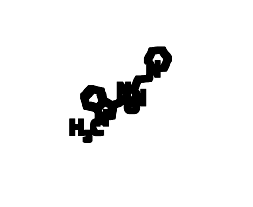 Cn1cc(-c2nc(CCN3CCCCC3)no2)c2ccccc21